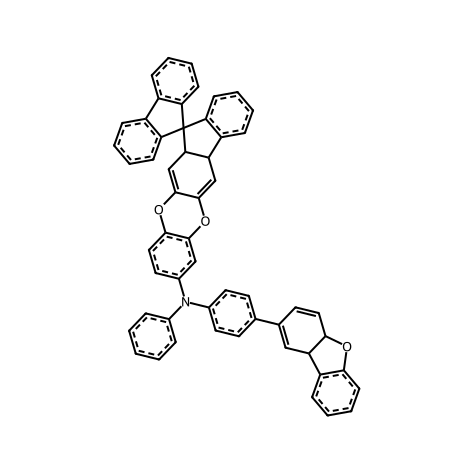 C1=CC2Oc3ccccc3C2C=C1c1ccc(N(c2ccccc2)c2ccc3c(c2)OC2=CC4c5ccccc5C5(c6ccccc6-c6ccccc65)C4C=C2O3)cc1